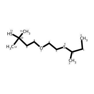 CCC(C)SCCOCCC(C)(C)S